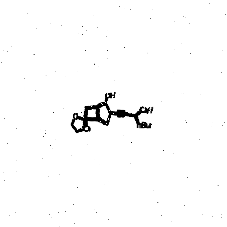 CCCCC(O)C#CC1CC2C(CC23OCCO3)C1O